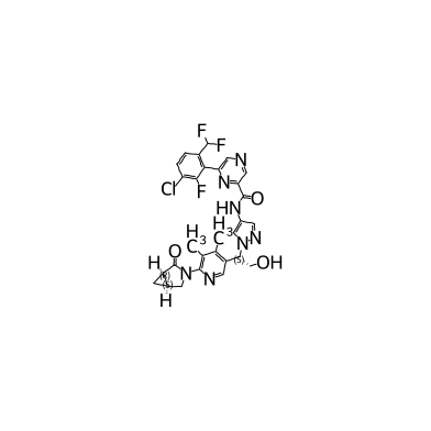 Cc1c([C@@H](CO)n2cc(NC(=O)c3cncc(-c4c(C(F)F)ccc(Cl)c4F)n3)cn2)cnc(N2C[C@H]3C[C@H]3C2=O)c1C